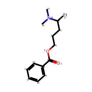 CCC(CCCOC(=O)c1ccccc1)N(C)C